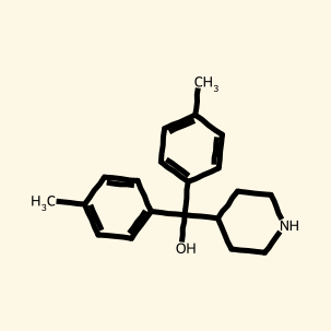 Cc1ccc(C(O)(c2ccc(C)cc2)C2CCNCC2)cc1